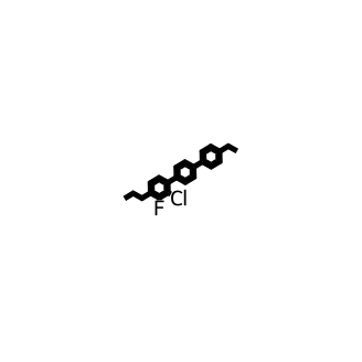 CCCc1ccc(-c2ccc(-c3ccc(CC)cc3)cc2)c(Cl)c1F